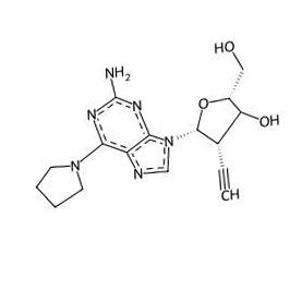 C#C[C@H]1C(O)[C@@H](CO)O[C@H]1n1cnc2c(N3CCCC3)nc(N)nc21